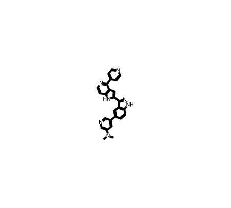 CN(C)c1cncc(-c2ccc3[nH]nc(-c4cc5c(-c6ccncc6)nccc5[nH]4)c3c2)c1